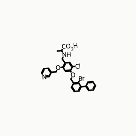 CC(NCc1cc(Cl)c(OCc2cccc(-c3ccccc3)c2Br)cc1OCc1cccnc1)C(=O)O